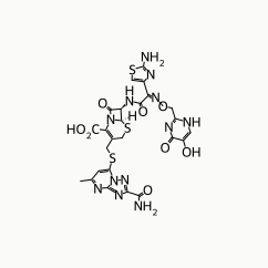 Cc1cc(SCC2=C(C(=O)O)N3C(=O)[C@@H](NC(=O)/C(=N\OCc4nc(=O)c(O)c[nH]4)c4csc(N)n4)[C@H]3SC2)n2nc(C(N)=O)nc2n1